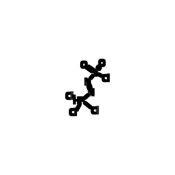 O=S(=O)(Cl)N=N[PH](Cl)(Cl)Cl